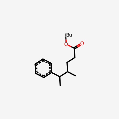 CCC(C)OC(=O)CCC(C)C(C)c1ccccc1